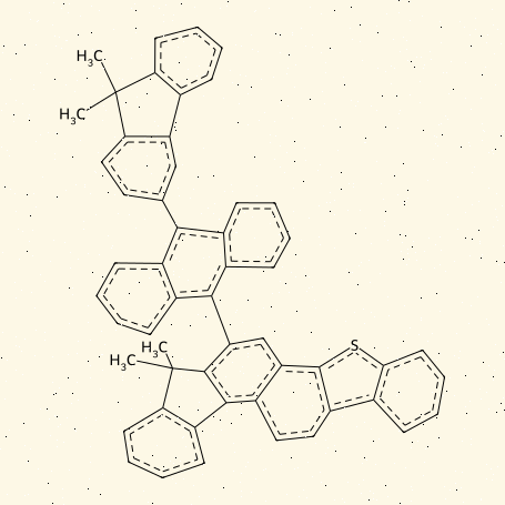 CC1(C)c2ccccc2-c2cc(-c3c4ccccc4c(-c4cc5c(ccc6c7ccccc7sc56)c5c4C(C)(C)c4ccccc4-5)c4ccccc34)ccc21